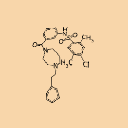 Cc1cc(S(=O)(=O)Nc2cccc(C(=O)N3CCCN(CCc4ccccc4)CC3)c2)c(C)cc1Cl